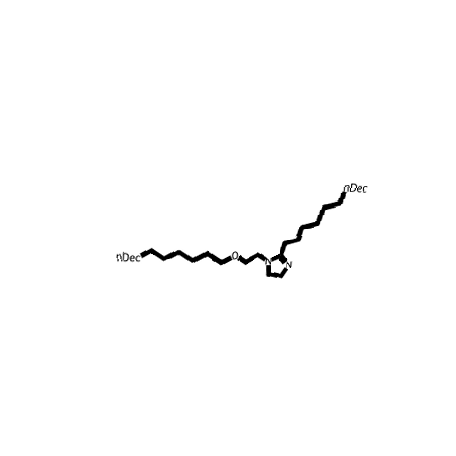 CCCCCCCCCCCCCCCCOCCN1CCN=C1CCCCCCCCCCCCCCCC